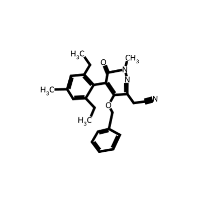 CCc1cc(C)cc(CC)c1-c1c(OCc2ccccc2)c(CC#N)nn(C)c1=O